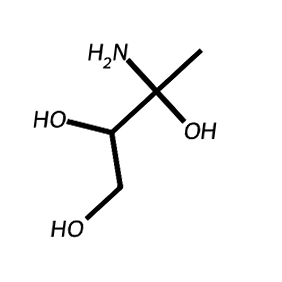 CC(N)(O)C(O)CO